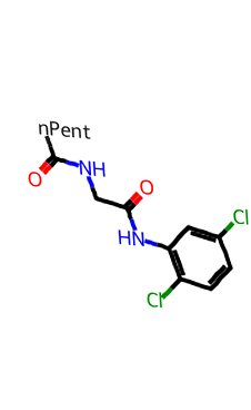 CCCCCC(=O)NCC(=O)Nc1cc(Cl)ccc1Cl